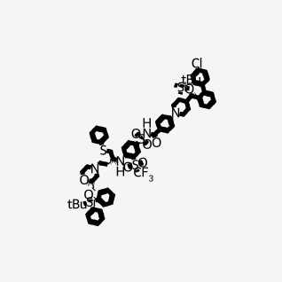 CC(C)(C)[Si](C)(C)O[C@@H](c1ccccc1-c1ccc(Cl)cc1)C1CCN(c2ccc(C(=O)NS(=O)(=O)c3ccc(N[C@H](CCN4CCO[C@@H](CO[Si](c5ccccc5)(c5ccccc5)C(C)(C)C)C4)CSc4ccccc4)c(S(=O)(=O)C(F)(F)F)c3)cc2)CC1